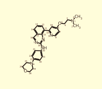 CN(C)CCOc1ccnc(-c2cccc3cnc(Nc4ccc(N5CCOCC5)cc4)nc23)c1